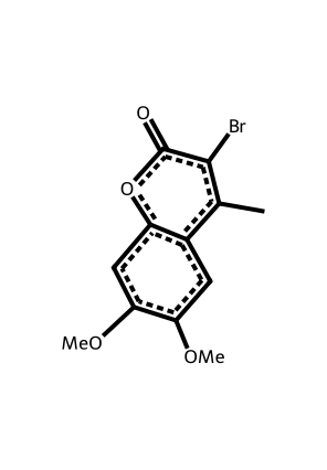 COc1cc2oc(=O)c(Br)c(C)c2cc1OC